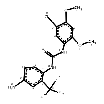 COc1cc(OC)c(NC(=S)Nc2ccc(N)cc2C(F)(F)F)cc1Cl